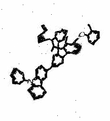 C=C/C=C\C1=C(C)C2(c3ccccc31)c1cc(-c3ccc4c(c3)c3ccccc3n4-c3ccccc3)ccc1-c1ccc(Oc3ccccc3C)c(C)c12